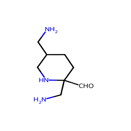 NCC1CCC(C=O)(CN)NC1